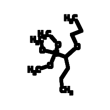 CCCOC(CCC)[Si](OC)(OC)OC